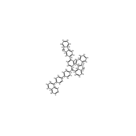 c1ccc2c(-c3ccc(-c4ccc(N(c5ccc(-c6ccc7c(c6)oc6ccccc67)cc5)c5cccc6oc7c8ccccc8ccc7c56)cc4)cc3)cccc2c1